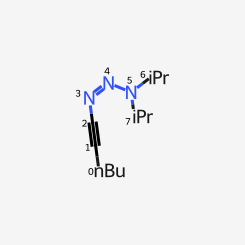 CCCCC#C/N=N\N(C(C)C)C(C)C